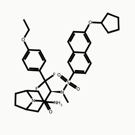 CCOc1ccc(C(F)(F)[C@H](C(=O)N2C3CCC2CC(N)C3)N(C)S(=O)(=O)c2ccc3cc(OC4CCCC4)ccc3c2)cc1